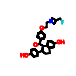 O=C(C1=C(c2ccc(O)cc2)CCc2cc(O)ccc21)c1ccc(OCCN2CC(CF)C2)cc1